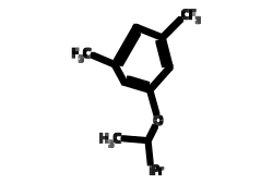 CC(C)C(C)Oc1cc(C(F)(F)F)cc(C(F)(F)F)c1